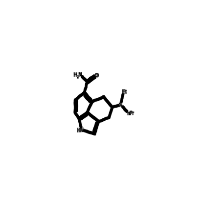 CCCN(CC)C1Cc2c[nH]c3ccc(C(N)=O)c(c23)C1